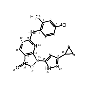 Cc1cc(Cl)ccc1Nc1ncc2c(n1)n(-c1cc(C3CC3)n[nH]1)o[n+]2=O